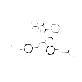 CCC(C)(C)C(=O)C(=O)N1CCCC[C@H]1C(=O)OC(CCc1ccc(OC)c(OC)c1)c1cccc(OCC(=O)O)c1